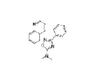 CN(C)c1nc(-c2ccccc2)no1.c1ccc2ncccc2c1